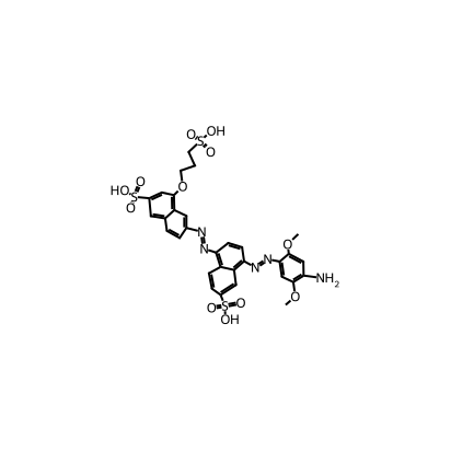 COc1cc(N=Nc2ccc(N=Nc3ccc4cc(S(=O)(=O)O)cc(OCCCS(=O)(=O)O)c4c3)c3ccc(S(=O)(=O)O)cc23)c(OC)cc1N